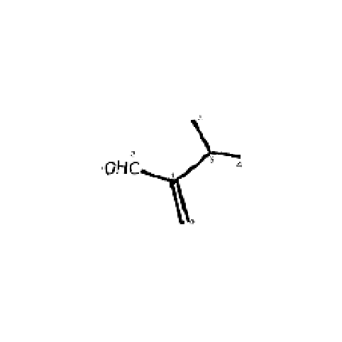 C=C([C]=O)C(C)C